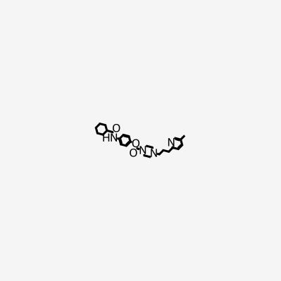 Cc1ccc(CCCN2CCN(C(=O)Oc3ccc(NC(=O)C4CCCCC4)cc3)CC2)nc1